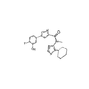 CN(C(=O)c1cc(-c2ccc(F)c(O)c2)on1)c1ccnn1C1CCCCC1